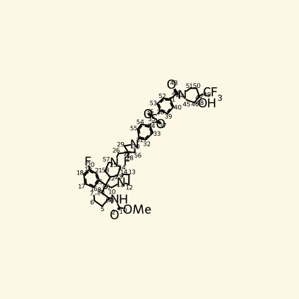 COC(=O)N[C@H]1CCC[C@@H]1[C@](CN1CCC1)(c1cccc(F)c1)C1CCN(CC2(F)CN(c3ccc(S(=O)(=O)c4ccc(C(=O)N5CCC(O)(C(F)(F)F)CC5)cc4)cc3)C2)CC1